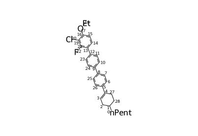 CCCCCC1CC=C(c2ccc(-c3ccc(-c4ccc(OCC)c(Cl)c4F)cc3)cc2)CC1